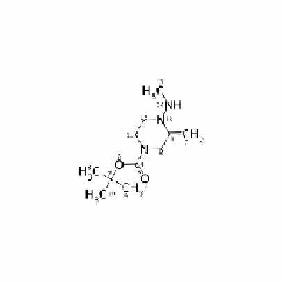 C=C1CN(C(=O)OC(C)(C)C)CCN1NC